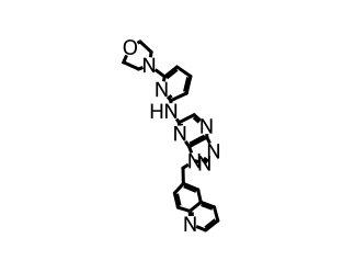 c1cc(Nc2cnc3nnn(Cc4ccc5ncccc5c4)c3n2)nc(N2CCOCC2)c1